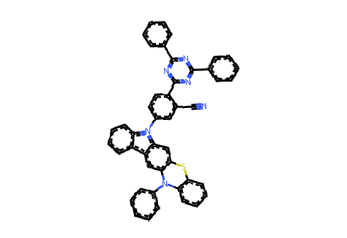 N#Cc1cc(-n2c3ccccc3c3cc4c(cc32)Sc2ccccc2N4c2ccccc2)ccc1-c1nc(-c2ccccc2)nc(-c2ccccc2)n1